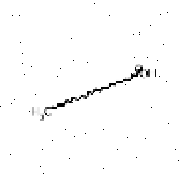 CCCC=CCC=CCCCCCCCCCCCCCCCCCC(=O)O